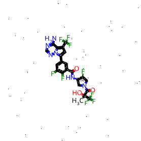 CC(O)(C(=O)N1C[C@H](F)[C@H](NC(=O)c2cc(-c3cc(C(F)(F)F)c4c(N)ncnn34)cc(F)c2F)C1)C(F)(F)F